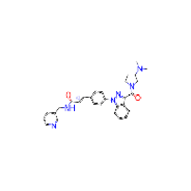 CN(C)C1CCN(C(=O)c2nn(-c3ccc(/C=C/C(=O)NCc4cccnc4)cc3)c3ccccc23)C1